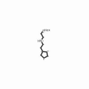 CCCCCCCCNCCC1CCCC1